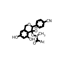 CC(=O)C(=O)N(C)OC1(O)c2c(O)cc(O)cc2COC1c1ccc(C#N)cc1